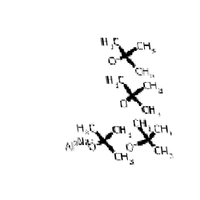 CC(C)(C)[O-].CC(C)(C)[O-].CC(C)(C)[O-].CC(C)(C)[O-].[Al+3].[Na+]